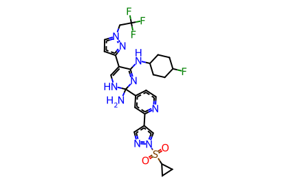 NC1(c2ccnc(-c3cnn(S(=O)(=O)C4CC4)c3)c2)N=C(NC2CCC(F)CC2)C(c2ccn(CC(F)(F)F)n2)=CN1